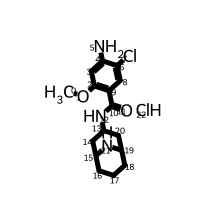 COc1cc(N)c(Cl)cc1C(=O)NC1CC2CCCC(C1)N2.Cl